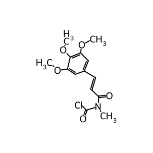 COc1cc(C=CC(=O)N(C)C(=O)Cl)cc(OC)c1OC